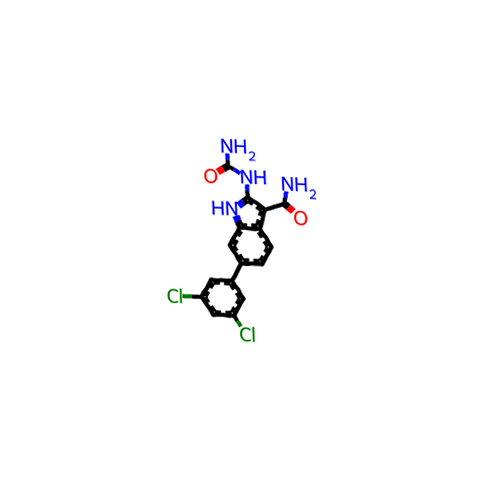 NC(=O)Nc1[nH]c2cc(-c3cc(Cl)cc(Cl)c3)ccc2c1C(N)=O